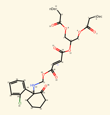 CCCCCCCCCCCC(=O)OCC(COC(=O)CCCCCCCCCCC)OC(=O)/C=C/C(=O)OCNC1(c2ccccc2Cl)CCCCC1=O